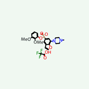 COc1cccc(OS(=O)(=O)c2cc(N3CCN(C)CC3)c3occc3c2)c1OC.O=C(O)C(F)(F)F